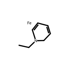 CCN1C=CC=CC1.[Fe]